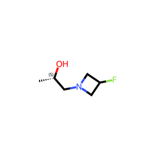 C[C@H](O)CN1CC(F)C1